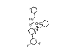 O=C/C(=N\c1ccc(-c2cc(F)cc(F)c2)nc1NCC1CCCCC1)NCc1cccnc1